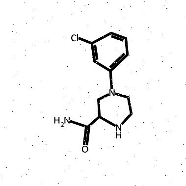 NC(=O)C1CN(c2cccc(Cl)c2)CCN1